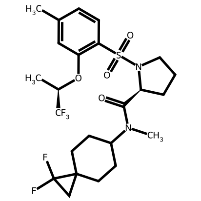 Cc1ccc(S(=O)(=O)N2CCC[C@H]2C(=O)N(C)C2CCC3(CC2)CC3(F)F)c(O[C@H](C)C(F)(F)F)c1